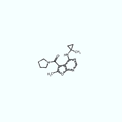 Cc1oc2ncnc(NC3(C)CC3)c2c1C(=O)N1CCCC1